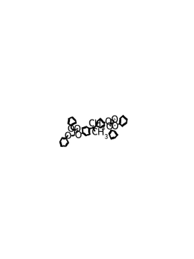 CC(C)(c1ccc(OP(=O)(COc2ccccc2)Oc2ccccc2)cc1)c1ccc(OP(=O)(Oc2ccccc2)Oc2ccccc2)cc1